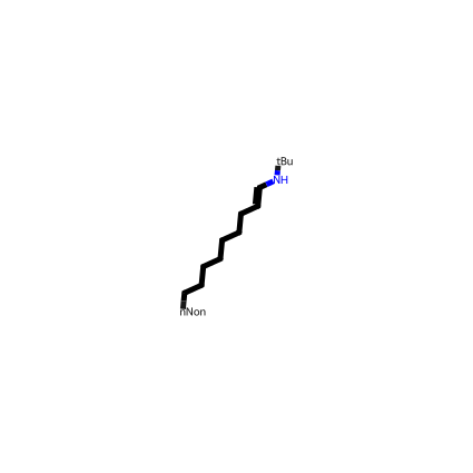 CCCCCCCCCCCCCCCCC=CNC(C)(C)C